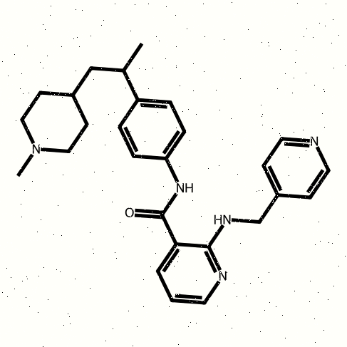 CC(CC1CCN(C)CC1)c1ccc(NC(=O)c2cccnc2NCc2ccncc2)cc1